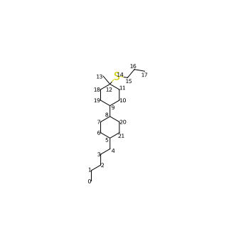 CCCCCC1CCC(C2CCC(C)(SCCC)CC2)CC1